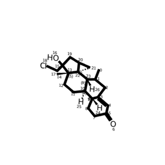 CC1CC2=CC(=O)CC[C@@H]2[C@H]2CC[C@]3(C)C(O)(CCl)CC4C[C@@]43[C@H]12